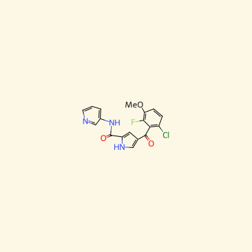 COc1ccc(Cl)c(C(=O)c2c[nH]c(C(=O)Nc3cccnc3)c2)c1F